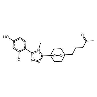 CC(=O)CCCC12CCC(c3nnc(-c4ccc(O)cc4Cl)n3C)(CC1)CC2